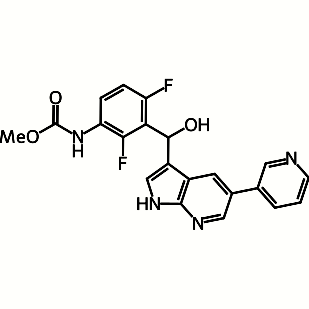 COC(=O)Nc1ccc(F)c(C(O)c2c[nH]c3ncc(-c4cccnc4)cc23)c1F